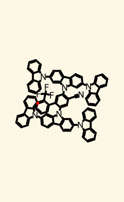 N#Cc1cc(-n2c3cc(-n4c5ccccc5c5ccccc54)ccc3c3ccc(-n4c5ccccc5c5ccccc54)cc32)c(-c2ccccc2C(F)(F)F)cc1-n1c2cc(-n3c4ccccc4c4ccccc43)ccc2c2ccc(-n3c4ccccc4c4ccccc43)cc21